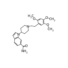 COc1cc(OC)c(OC)cc1CCN1CCC(n2ccc3ccc(C(N)=O)cc32)CC1